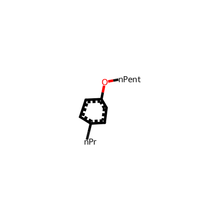 [CH2]CCc1ccc(OCCCCC)cc1